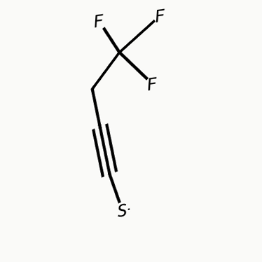 FC(F)(F)CC#C[S]